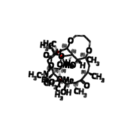 CC[C@H]1OC(=O)[C@H](C)[C@H]2OCCCO[C@@](C)(C[C@@H](C)C(=O)[C@H](C)[C@@H](O)[C@]1(C)O)[C@H](O[C@@H]1O[C@H](C)C[C@H](N(C)C)[C@H]1OC)[C@H]2COC